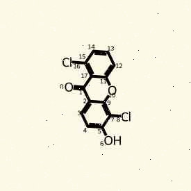 O=c1c2ccc(O)c(Cl)c2oc2cccc(Cl)c12